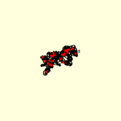 CCCCOC1C(OCCCC)[C@H](O[C@H]2OC(COCc3ccc(OC)cc3)[C@@H](OCCCC)C(OCCCC)C2N=[N+]=[N-])C(C(=O)OC)O[C@H]1O[C@@H]1C(COCc2ccc(OC)cc2)O[C@@H](O[C@@H](C)C(OCCCC)C(OC(=O)c2ccccc2)[C@@H](OC(=O)OC)O[C@@H]2C(COC(=O)c3ccccc3)O[C@H](OC)C(N=[N+]=[N-])C2OCCCC)C(N=[N+]=[N-])C1OCc1ccc(OC)cc1